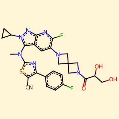 CN(c1nc(-c2ccc(F)cc2)c(C#N)s1)c1c2cc(N3CC4(CN(C(=O)C(O)CO)C4)C3)c(F)nc2nn1C1CC1